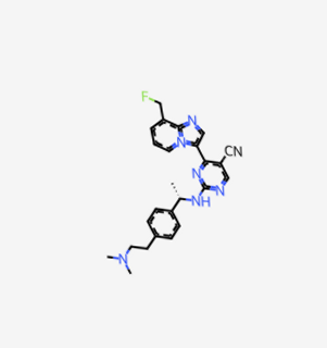 C[C@H](Nc1ncc(C#N)c(-c2cnc3c(CF)cccn23)n1)c1ccc(CCN(C)C)cc1